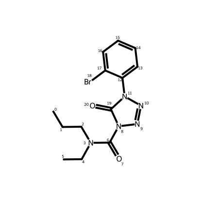 CCCN(CC)C(=O)n1nnn(-c2ccccc2Br)c1=O